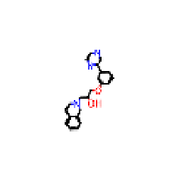 OC(COc1cccc(-c2cnccn2)c1)CN1CCc2ccccc2C1